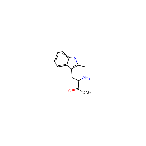 COC(=O)C(N)Cc1c(C)[nH]c2ccccc12